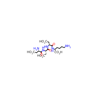 NCCCC[C@H](NC(=O)[C@H](CC(=O)O)NC(=O)[C@H](CC(=O)O)NC(=O)[C@@H](N)CC(=O)O)C(=O)O